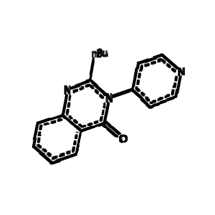 CCCCc1nc2ccccc2c(=O)n1-c1ccncc1